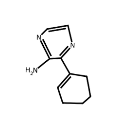 Nc1nccnc1C1=CCCCC1